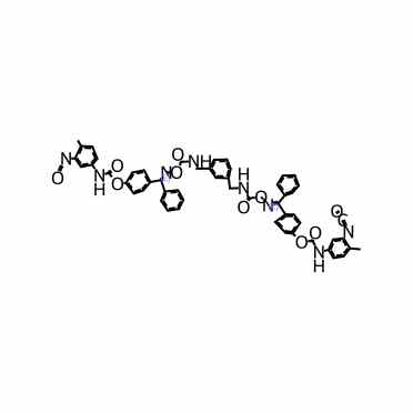 Cc1ccc(NC(=O)Oc2ccc(/C(=N/OC(=O)NCc3cccc(CNC(=O)O/N=C(\c4ccccc4)c4ccc(OC(=O)Nc5ccc(C)c(N=C=O)c5)cc4)c3)c3ccccc3)cc2)cc1N=C=O